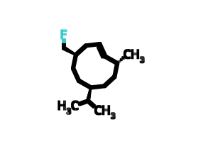 CC(C)[C@H]1CC[C@@H](CF)C/C=C/[C@H](C)CC1